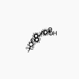 CC(C)(C)C1CCC(Oc2cccc3c(CCN4CCC(C(=O)O)CC4)cccc23)CC1